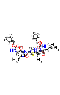 CC(C)C[C@H](NC(=O)OCc1ccccc1)C(=O)NNC(=O)c1ccc(C(C)NC(=O)[C@H](CC(C)C)NC(=O)OCc2ccccc2)s1